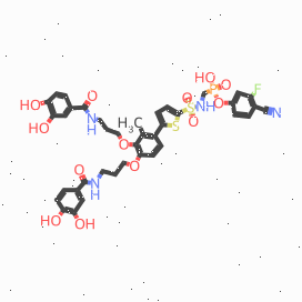 Cc1c(-c2ccc(S(=O)(=O)NCP(=O)(O)Oc3ccc(C#N)c(F)c3)s2)ccc(OCCCNC(=O)c2ccc(O)c(O)c2)c1OCCCNC(=O)c1ccc(O)c(O)c1